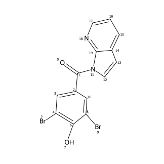 O=C(c1cc(Br)c(O)c(Br)c1)n1ccc2cccnc21